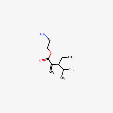 C=C(C(=O)OCCN)C(CC)C(C)C